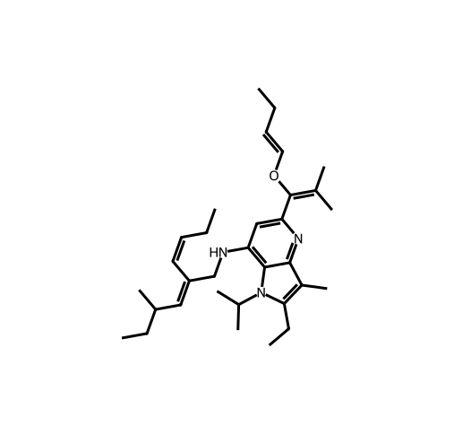 CC/C=C\C(=C/C(C)CC)CNc1cc(C(O/C=C/CC)=C(C)C)nc2c(C)c(CC)n(C(C)C)c12